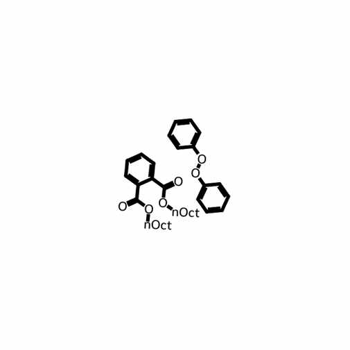 CCCCCCCCOC(=O)c1ccccc1C(=O)OCCCCCCCC.c1ccc(OOc2ccccc2)cc1